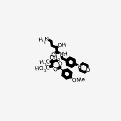 COc1ccc([C@@H]2OCC(C)(C)C(C(=O)O)O2)cc1.NCCC(O)C(=O)NCc1ccc(N2CCOCC2)cc1